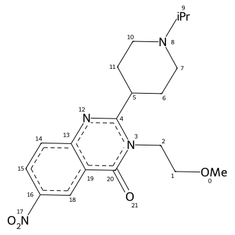 COCCn1c(C2CCN(C(C)C)CC2)nc2ccc([N+](=O)[O-])cc2c1=O